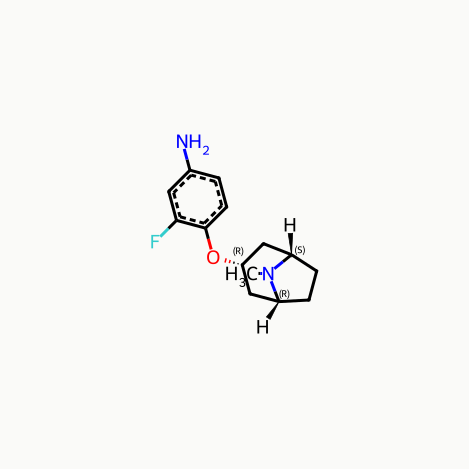 CN1[C@@H]2CC[C@H]1C[C@@H](Oc1ccc(N)cc1F)C2